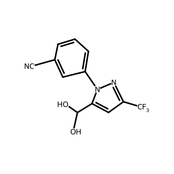 N#Cc1cccc(-n2nc(C(F)(F)F)cc2C(O)O)c1